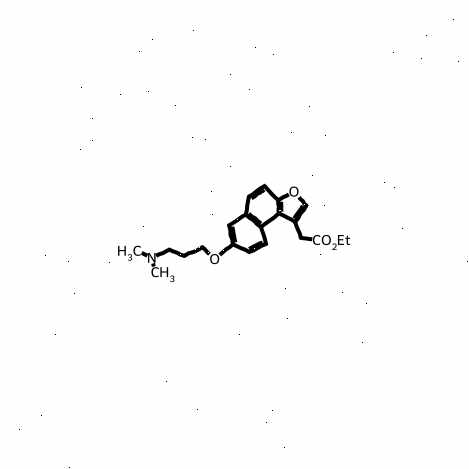 CCOC(=O)Cc1coc2ccc3cc(OCCCN(C)C)ccc3c12